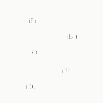 CCC(C)C(OC(C(C)C)C(C)CC)C(C)C